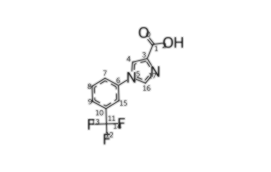 O=C(O)c1cn(-c2cccc(C(F)(F)F)c2)cn1